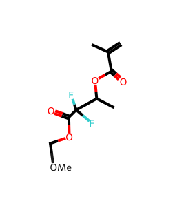 C=C(C)C(=O)OC(C)C(F)(F)C(=O)OCOC